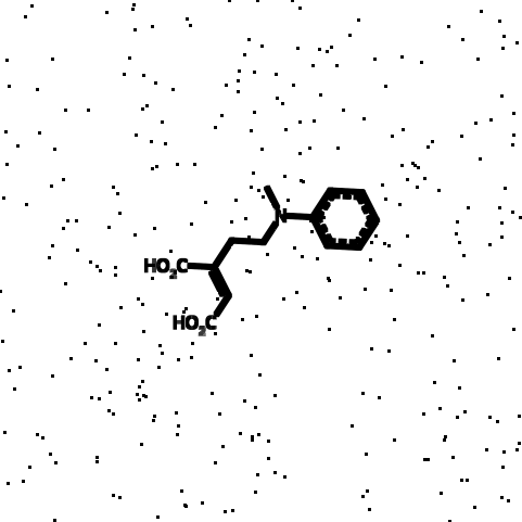 CN(CCC(=CC(=O)O)C(=O)O)c1ccccc1